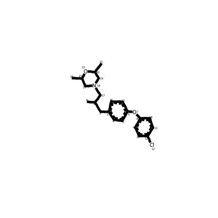 CC(Cc1ccc(Oc2ccc(Cl)cc2)cc1)CN1CC(C)OC(C)C1